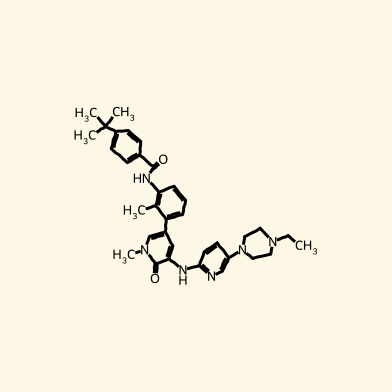 CCN1CCN(c2ccc(Nc3cc(-c4cccc(NC(=O)c5ccc(C(C)(C)C)cc5)c4C)cn(C)c3=O)nc2)CC1